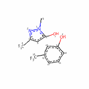 Cn1nc(C(F)(F)F)cc1O.Oc1cccc(C(F)(F)F)c1